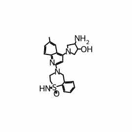 Cc1ccc2nc(N3CCS(=N)(=O)c4ccccc4C3)cc(N3CC(N)C(O)C3)c2c1